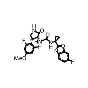 COc1cc(F)c([C@@H]2CNC(=O)[C@H]2NC(=O)NC2(c3nc4ccc(F)cc4o3)CC2)c(F)c1